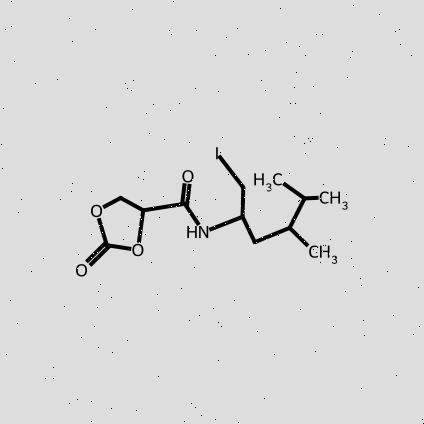 CC(C)C(C)CC(CI)NC(=O)C1COC(=O)O1